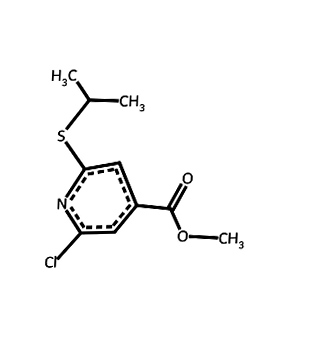 COC(=O)c1cc(Cl)nc(SC(C)C)c1